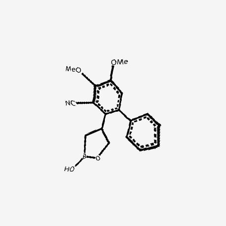 COc1cc(-c2ccccc2)c(C2COB(O)C2)c(C#N)c1OC